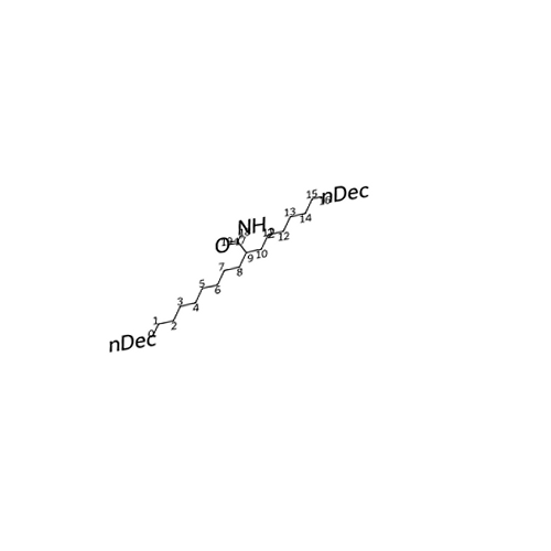 CCCCCCCCCCCCCCCCCCC(CCCCCCCCCCCCCCCC)C(N)=O